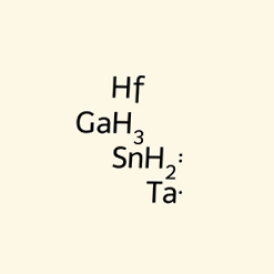 [GaH3].[Hf].[SnH2].[Ta]